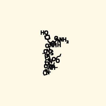 CCCC(=O)OCN(C(=O)[C@@H](NC(=O)[C@H]1CCCCN1C)[C@@H](C)CC)[C@H](C[C@@H](OC(C)=O)c1nc(C(=O)N[C@@H](Cc2ccc(O)cc2)C[C@H](C)C(=O)NN)cs1)C(C)C